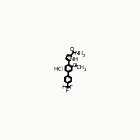 COc1cc(-c2ccc(C(F)(F)F)cc2)ccc1-c1ccc(C(N)=O)[nH]1.Cl